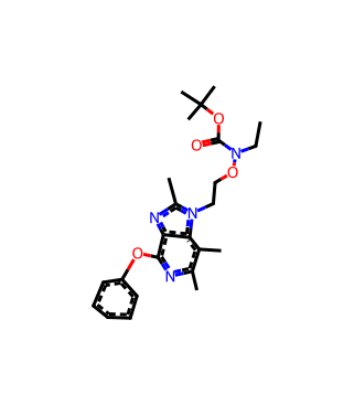 CCN(OCCn1c(C)nc2c(Oc3ccccc3)nc(C)c(C)c21)C(=O)OC(C)(C)C